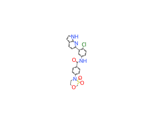 O=C(Nc1ccc(Cl)c(-c2ccc3cc[nH]c3n2)c1)c1ccc(N2CCOCS2(=O)=O)cc1